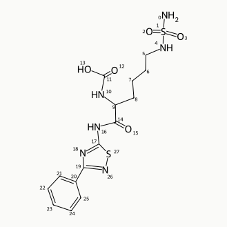 NS(=O)(=O)NCCCCC(NC(=O)O)C(=O)Nc1nc(-c2ccccc2)ns1